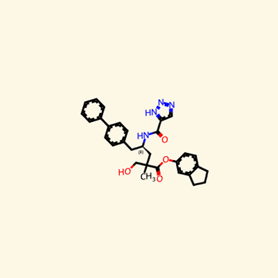 CC(CO)(C[C@@H](Cc1ccc(-c2ccccc2)cc1)NC(=O)c1cnn[nH]1)C(=O)Oc1ccc2c(c1)CCC2